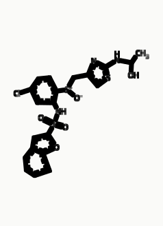 CC(O)Nc1nc(C[S+]([O-])c2ccc(Cl)cc2NS(=O)(=O)c2cc3ccccc3o2)cs1